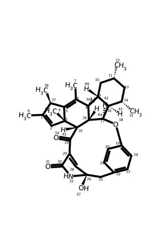 CC1=C[C@]2(C)C(=C(C)[C@@H]3[C@@H]4C[C@H](C)C[C@H](C)[C@H]4[C@H]4Oc5ccc(cc5)C[C@@]5(O)C=C(C(=O)N5)C(=O)[C@H]2[C@@H]43)[C@@H]1C